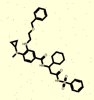 CN(c1ccc(C(=O)NC(CC(=O)NS(=O)(=O)c2ccccc2)C2CCCCC2)cc1NCCOCc1ccccc1)C1CC1